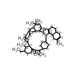 CCC1CCC2(C)C(C)C(C)C3CCC(CC3)N3C4=C(CCC5CC=C(C)CC45)NC3C3CCC(C)(C)C4C5CCC(C2C1C)N(C)C5SC34